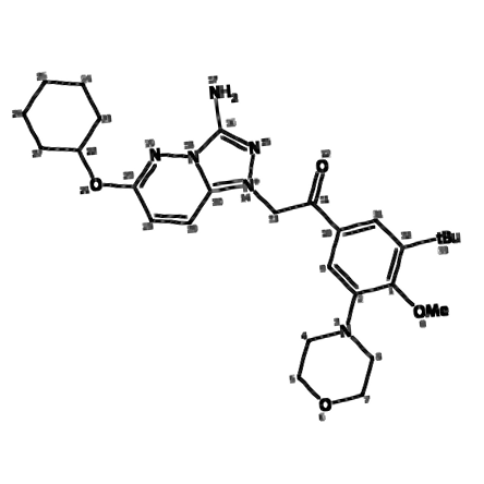 COc1c(N2CCOCC2)cc(C(=O)C[n+]2nc(N)n3nc(OC4CCCCC4)ccc32)cc1C(C)(C)C